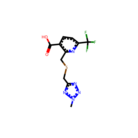 Cn1nnc(CSCc2nc(C(F)(F)F)ccc2C(=O)O)n1